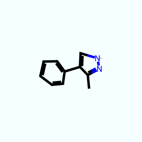 CC1=N[N]C=C1c1ccccc1